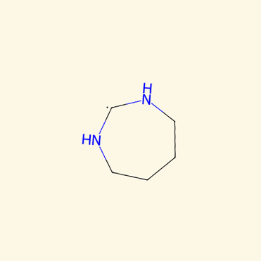 [CH]1NCCCCN1